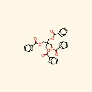 O=C(OCC(COC(=O)C1CC2C=CC1C2)(COC(=O)C1CC2C=CC1C2)COC(=O)C1CC2C=CC1C2)C1CC2C=CC1C2